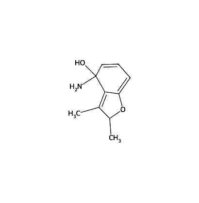 CC1=C2C(=CC=CC2(N)O)OC1C